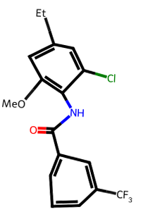 CCc1cc(Cl)c(NC(=O)c2cccc(C(F)(F)F)c2)c(OC)c1